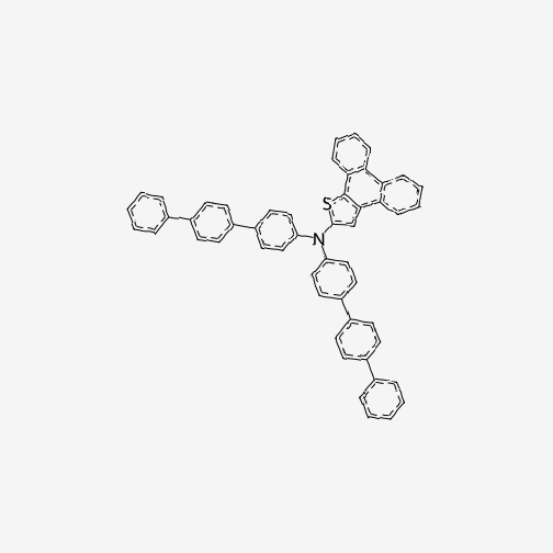 c1ccc(-c2ccc(-c3ccc(N(c4ccc(-c5ccc(-c6ccccc6)cc5)cc4)c4cc5c6ccccc6c6ccccc6c5s4)cc3)cc2)cc1